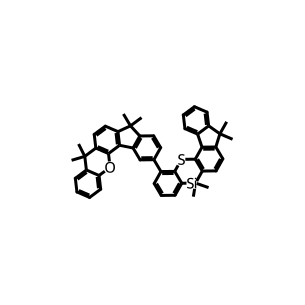 CC1(C)c2ccccc2Oc2c1ccc1c2-c2cc(-c3cccc4c3Sc3c(ccc5c3-c3ccccc3C5(C)C)[Si]4(C)C)ccc2C1(C)C